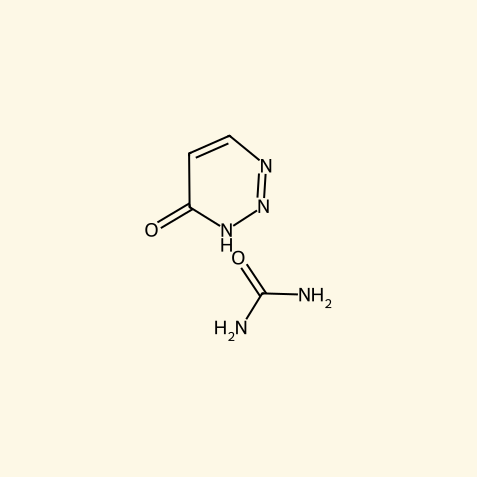 NC(N)=O.O=c1ccnn[nH]1